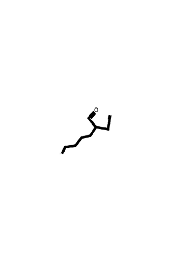 [CH2]CCCCC(C=O)CC